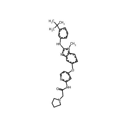 Cn1c(Nc2cccc(C(C)(C)C)c2)nc2cc(Oc3ccnc(NC(=O)CN4CCCC4)c3)ccc21